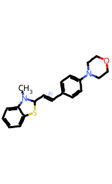 CN1c2ccccc2SC1/C=C/c1ccc(N2CCOCC2)cc1